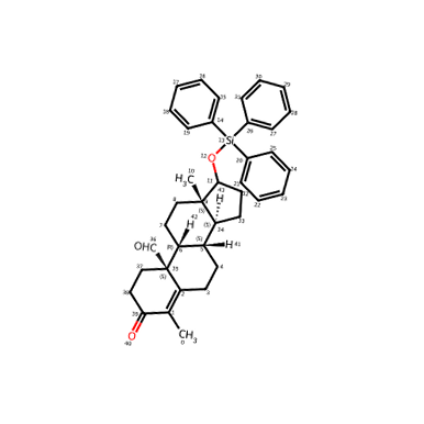 CC1=C2CC[C@@H]3[C@@H](CC[C@]4(C)C(O[Si](c5ccccc5)(c5ccccc5)c5ccccc5)CC[C@@H]34)[C@@]2(C=O)CCC1=O